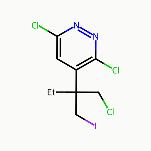 CCC(CCl)(CI)c1cc(Cl)nnc1Cl